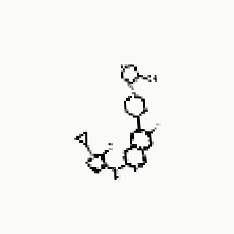 OC1COC[C@H]1N1CCC(c2cc3nc(Nc4cnn(C5CC5)c4Cl)ncc3cc2Cl)CC1